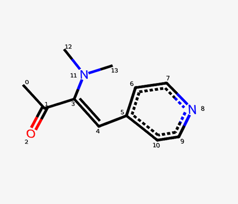 CC(=O)C(=Cc1ccncc1)N(C)C